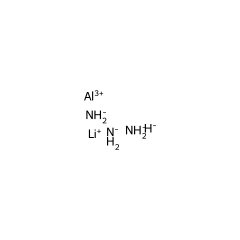 [Al+3].[H-].[Li+].[NH2-].[NH2-].[NH2-]